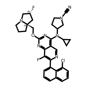 N#CN1CCC(N(c2nc(OC[C@@]34CCCN3C[C@H](F)C4)nc3c(F)c(-c4cccc5cccc(Cl)c45)ncc23)C2CC2)C1